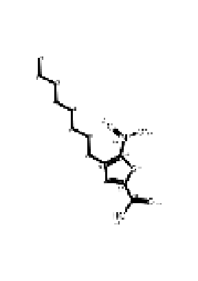 CCCCCCCCc1cc(C(=O)O)sc1[N+](=O)[O-]